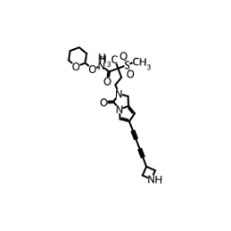 CC(CCN1Cc2cc(C#CC#CC3CNC3)cn2C1=O)(C(=O)NOC1CCCCO1)S(C)(=O)=O